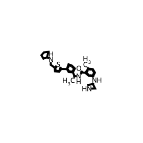 Cc1ccc(NC2CNC2)cc1C(=O)NC(C)c1cccc(-c2ccc(CNC3CCCC3)s2)c1